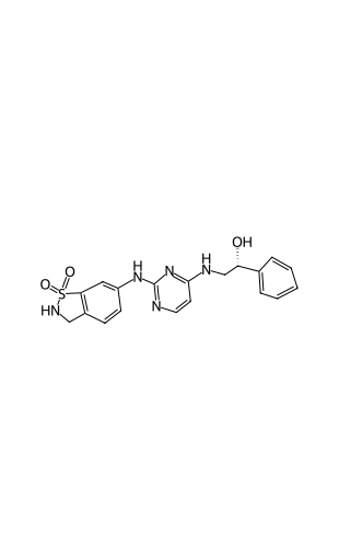 O=S1(=O)NCc2ccc(Nc3nccc(NC[C@H](O)c4ccccc4)n3)cc21